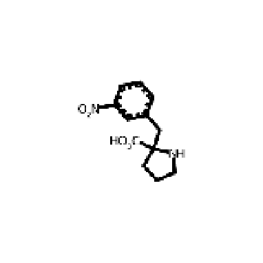 O=C(O)C1(Cc2cccc([N+](=O)[O-])c2)CCCN1